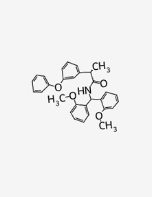 COc1ccccc1C(NC(=O)[C@H](C)c1cccc(Oc2ccccc2)c1)c1ccccc1OC